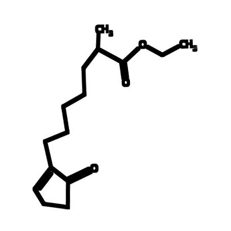 CCOC(=O)C(C)CCCCCC1=CCCC1=O